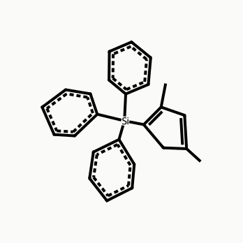 CC1=CC(C)=C([Si](c2ccccc2)(c2ccccc2)c2ccccc2)C1